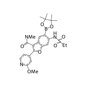 CCS(=O)(=O)Nc1cc2oc(-c3ccnc(OC)c3)c(C(=O)NC)c2cc1B1OC(C)(C)C(C)(C)O1